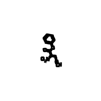 C#CCC(C(=O)Oc1ccccc1)[N+](=O)[O-]